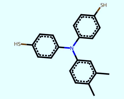 Cc1ccc(N(c2ccc(S)cc2)c2ccc(S)cc2)cc1C